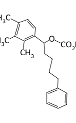 Cc1ccc(C(CCCCc2ccccc2)OC(=O)O)c(C)c1C